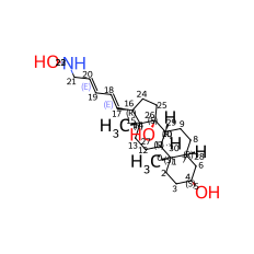 C[C@]12CC[C@H](O)C[C@H]1CC[C@@H]1[C@@H]2CC[C@]2(C)[C@@H](/C=C/C=C/CNO)CC[C@]12O